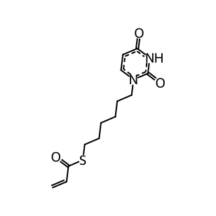 C=CC(=O)SCCCCCCn1ccc(=O)[nH]c1=O